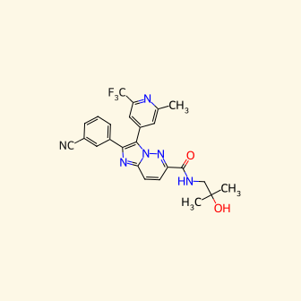 Cc1cc(-c2c(-c3cccc(C#N)c3)nc3ccc(C(=O)NCC(C)(C)O)nn23)cc(C(F)(F)F)n1